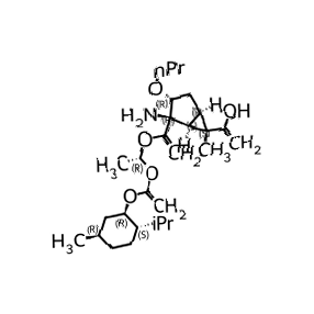 C=C(O[C@H](C)OC(=C)[C@]1(N)[C@H](OCCC)C[C@@H]2[C@H]1[C@@]2(C)C(=C)O)O[C@@H]1C[C@H](C)CC[C@H]1C(C)C